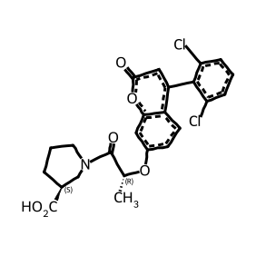 C[C@@H](Oc1ccc2c(-c3c(Cl)cccc3Cl)cc(=O)oc2c1)C(=O)N1CCC[C@H](C(=O)O)C1